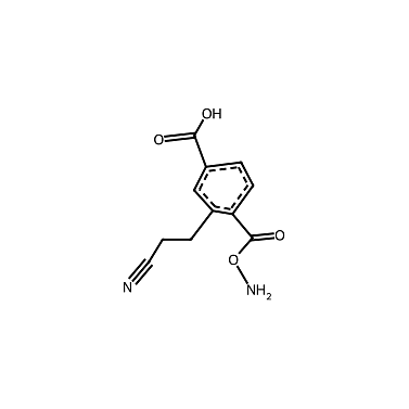 N#CCCc1cc(C(=O)O)ccc1C(=O)ON